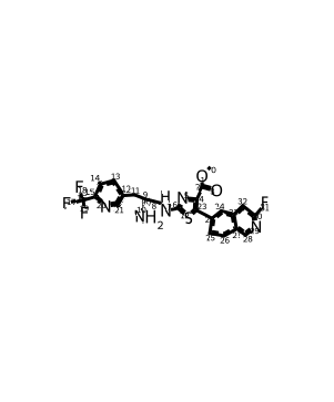 COC(=O)c1nc(NC[C@H](N)Cc2ccc(C(F)(F)F)nc2)sc1-c1ccc2cnc(F)cc2c1